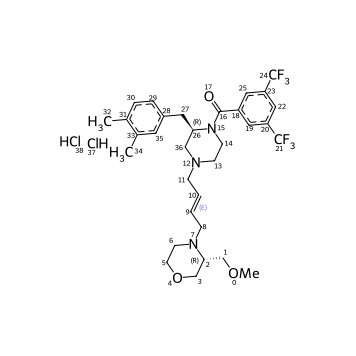 COC[C@@H]1COCCN1C/C=C/CN1CCN(C(=O)c2cc(C(F)(F)F)cc(C(F)(F)F)c2)[C@H](Cc2ccc(C)c(C)c2)C1.Cl.Cl